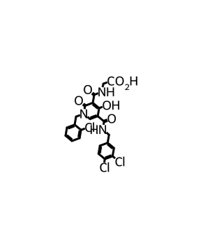 O=C(O)CNC(=O)c1c(O)c(C(=O)NCc2ccc(Cl)c(Cl)c2)cn(Cc2ccccc2Cl)c1=O